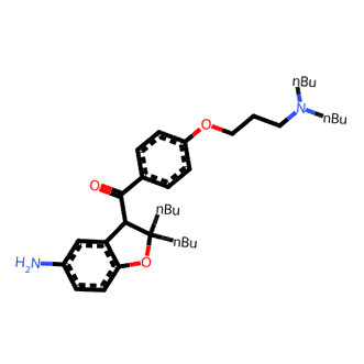 CCCCN(CCCC)CCCOc1ccc(C(=O)C2c3cc(N)ccc3OC2(CCCC)CCCC)cc1